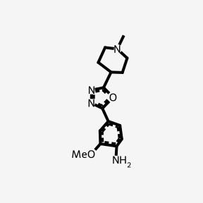 COc1cc(-c2nnc(C3CCN(C)CC3)o2)ccc1N